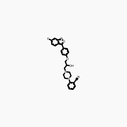 N#Cc1ccccc1N1CCN(CC(O)COc2ccc(-c3onc4cc(F)ccc34)cc2)CC1